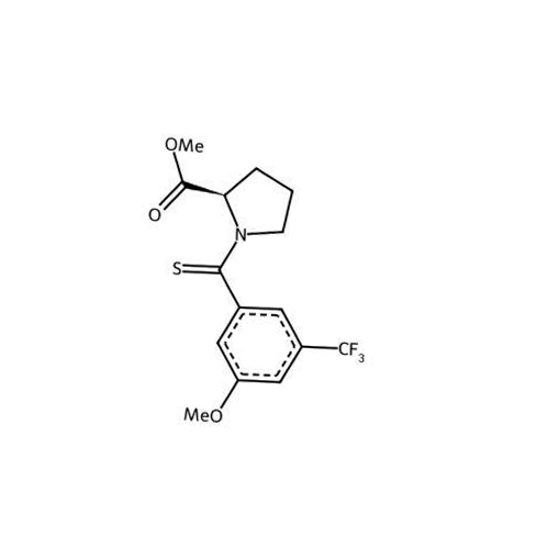 COC(=O)[C@H]1CCCN1C(=S)c1cc(OC)cc(C(F)(F)F)c1